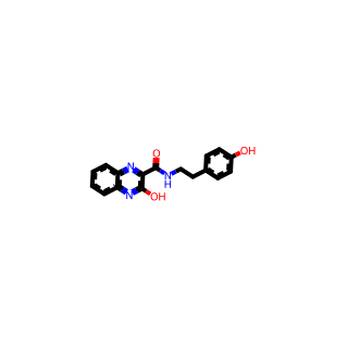 O=C(NCCc1ccc(O)cc1)c1nc2ccccc2nc1O